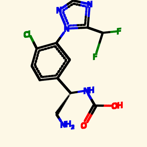 NC[C@@H](NC(=O)O)c1ccc(Cl)c(-n2ncnc2C(F)F)c1